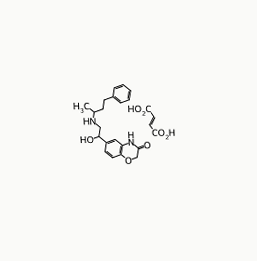 CC(CCc1ccccc1)NCC(O)c1ccc2c(c1)NC(=O)CO2.O=C(O)C=CC(=O)O